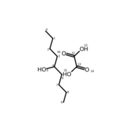 CCCCC(O)CCCC.O=C(O)C(=O)O